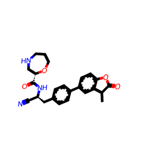 CC1C(=O)Oc2ccc(-c3ccc(C[C@@H](C#N)NC(=O)[C@@H]4CNCCCO4)cc3)cc21